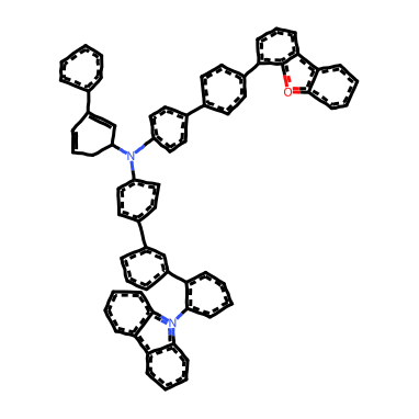 C1=CC(c2ccccc2)=CC(N(c2ccc(-c3ccc(-c4cccc5c4oc4ccccc45)cc3)cc2)c2ccc(-c3cccc(-c4ccccc4-n4c5ccccc5c5ccccc54)c3)cc2)C1